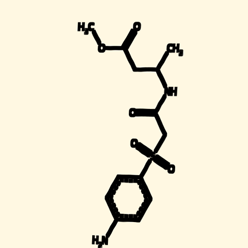 COC(=O)CC(C)NC(=O)CS(=O)(=O)c1ccc(N)cc1